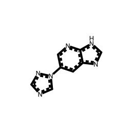 c1ncn(-c2cnc3[nH]cnc3c2)n1